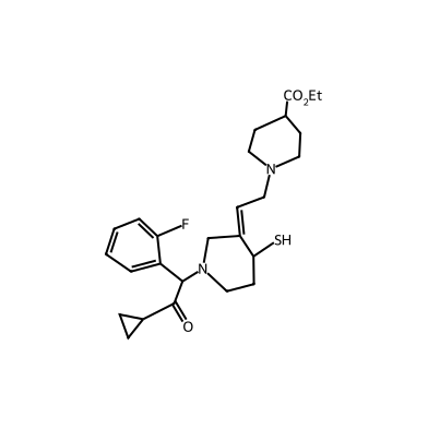 CCOC(=O)C1CCN(C/C=C2/CN(C(C(=O)C3CC3)c3ccccc3F)CCC2S)CC1